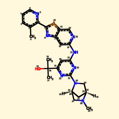 Cc1cccnc1-c1nc2cc(Nc3cc(C(C)(C)O)nc(N4C[C@@H]5C[C@H]4CN5C)n3)ncc2s1